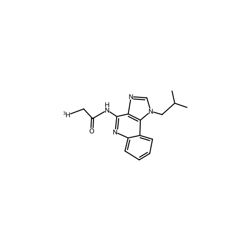 [3H]CC(=O)Nc1nc2ccccc2c2c1ncn2CC(C)C